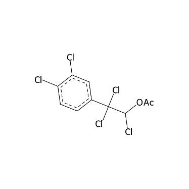 CC(=O)OC(Cl)C(Cl)(Cl)c1ccc(Cl)c(Cl)c1